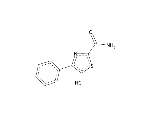 Cl.NC(=O)c1nc(-c2ccccc2)cs1